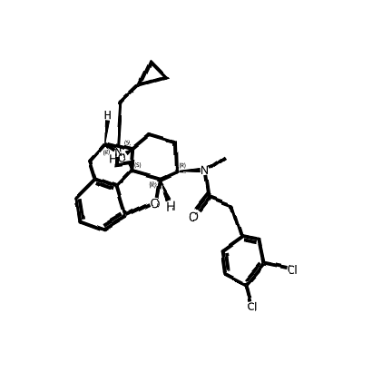 CN(C(=O)Cc1ccc(Cl)c(Cl)c1)[C@@H]1CC[C@@]2(O)[C@H]3Cc4cccc5c4[C@@]2(CCN3CC2CC2)[C@H]1O5